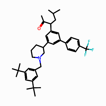 CC(=O)C(CC(C)C)c1cc(-c2ccc(C(F)(F)F)cc2)cc(C2CCCN(Cc3cc(C(C)(C)C)cc(C(C)(C)C)c3)C2)c1